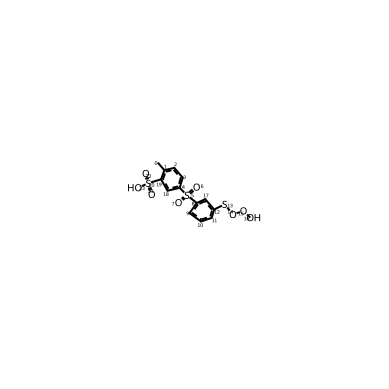 Cc1ccc(S(=O)(=O)c2cccc(SOOO)c2)cc1S(=O)(=O)O